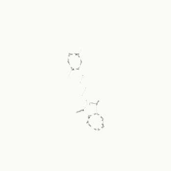 Cc1ccc(Cl)cc1CCCCN1C(=O)c2ccccc2C1=O